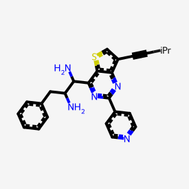 CC(C)C#Cc1csc2c(C(N)C(N)Cc3ccccc3)nc(-c3ccncc3)nc12